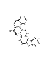 O=[N+]([O-])c1ccc2ccccc2c1-c1ccc2c3c(ccc2c1)Cc1ccccc1-3